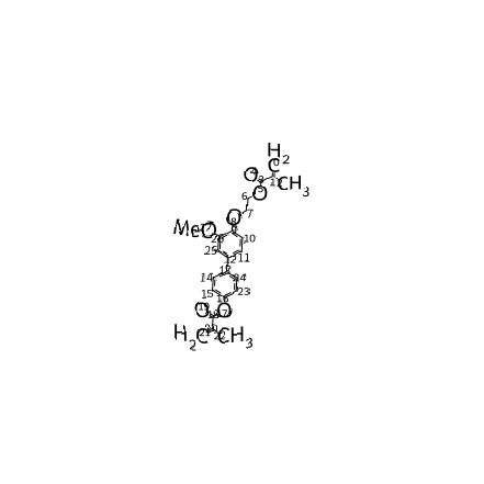 C=C(C)C(=O)OCCOc1ccc(-c2ccc(OC(=O)C(=C)C)cc2)cc1OC